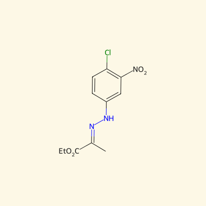 CCOC(=O)C(C)=NNc1ccc(Cl)c([N+](=O)[O-])c1